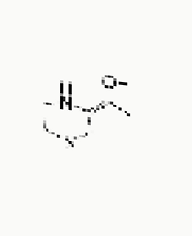 C/C(O)=C1\CSCCN1